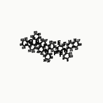 Fc1c(F)c(N(c2ccccc2)c2ccc3ccccc3c2)c(F)c(F)c1-c1ccc2c(c1)N(c1ccccc1)c1cccc3c(N(c4ccccc4)c4cccc5c4oc4ccccc45)ccc-2c13